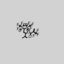 C=C(C(=O)OC(CC(S(=O)(=O)C(F)(F)F)S(=O)(=O)C(F)(F)F)C(C)C)C(F)(F)F